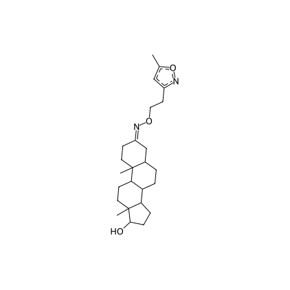 Cc1cc(CCON=C2CCC3(C)C(CCC4C5CCC(O)C5(C)CCC43)C2)no1